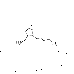 CCCCCN1CCCC1CN